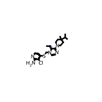 C/C=C1/C(N2CCC(C)(C(C)C)CC2)=NC=CN1CSc1ccnc(N)c1Cl